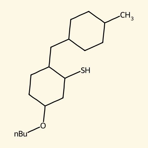 CCCCOC1CCC(CC2CCC(C)CC2)C(S)C1